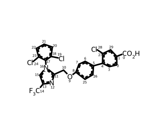 O=C(O)c1ccc(-c2ccc(OCc3nc(C(F)(F)F)cn3-c3c(Cl)cccc3Cl)cc2)c(Cl)c1